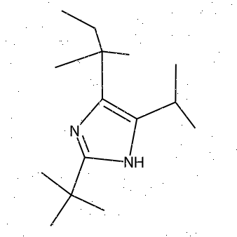 CCC(C)(C)c1nc(C(C)(C)C)[nH]c1C(C)C